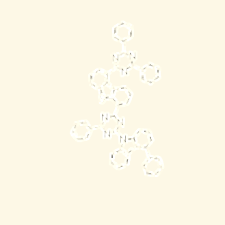 c1ccc(-c2nc(-c3ccccc3)nc(-c3cccc4sc5c(-c6nc(-c7ccccc7)nc(-n7c8ccccc8c8c(-c9ccccc9)cccc87)n6)cccc5c34)n2)cc1